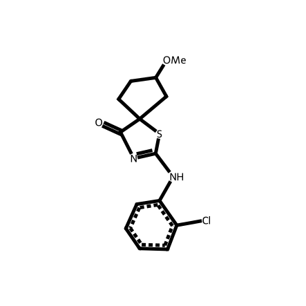 COC1CCC2(C1)SC(Nc1ccccc1Cl)=NC2=O